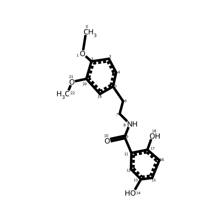 COc1ccc(CCNC(=O)c2cc(O)ccc2O)cc1OC